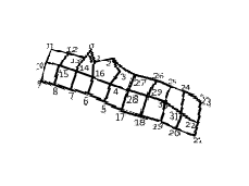 C1=C2C3CC45C(C6C7C8CC9CC%10C1C7(C9%108)C264)C1C2C4C6CC7CC8C9C%10C3C15C%102C94C786